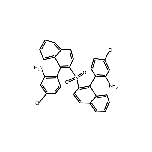 Nc1cc(Cl)ccc1-c1c(S(=O)(=O)c2ccc3ccccc3c2-c2ccc(Cl)cc2N)ccc2ccccc12